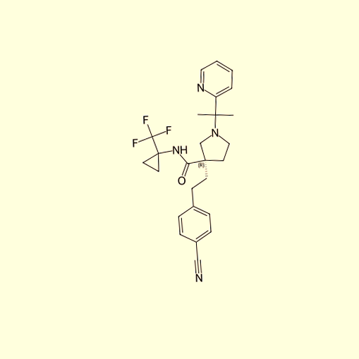 CC(C)(c1ccccn1)N1CC[C@@](CCc2ccc(C#N)cc2)(C(=O)NC2(C(F)(F)F)CC2)C1